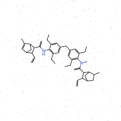 C=CC1C2C=C(C)C(C2)C1C(=C)Nc1c(CC)cc(Cc2cc(CC)c(N(C)C(=C)C3C(C=C)C4CC(C)C3C4)c(CC)c2)cc1CC